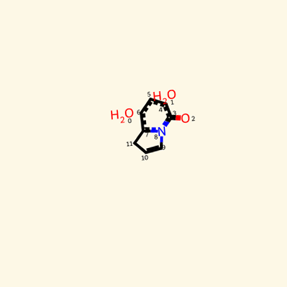 O.O.O=c1cccc2n1C=CC2